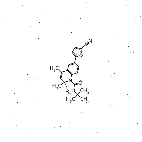 CC1=CC(C)(C)N(C(=O)OC(C)(C)C)c2ccc(-c3ccc(C#N)s3)cc21